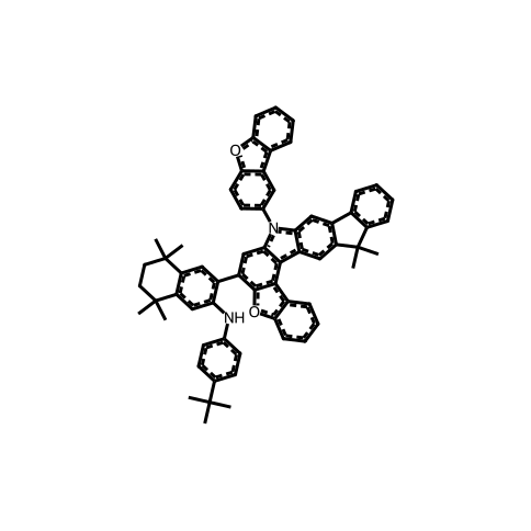 CC(C)(C)c1ccc(Nc2cc3c(cc2-c2cc4c(c5cc6c(cc5n4-c4ccc5oc7ccccc7c5c4)-c4ccccc4C6(C)C)c4c2oc2ccccc24)C(C)(C)CCC3(C)C)cc1